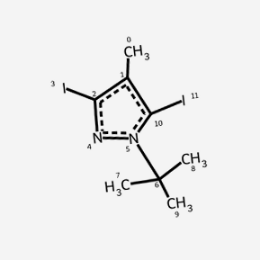 Cc1c(I)nn(C(C)(C)C)c1I